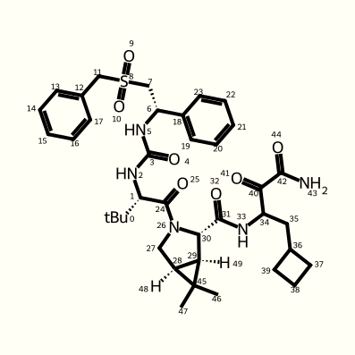 CC(C)(C)[C@H](NC(=O)N[C@H](CS(=O)(=O)Cc1ccccc1)c1ccccc1)C(=O)N1C[C@H]2[C@@H]([C@H]1C(=O)NC(CC1CCC1)C(=O)C(N)=O)C2(C)C